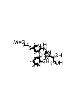 COCCSc1cnc(Nc2nc(C(O)CO)ns2)c(Oc2cccnc2C)c1